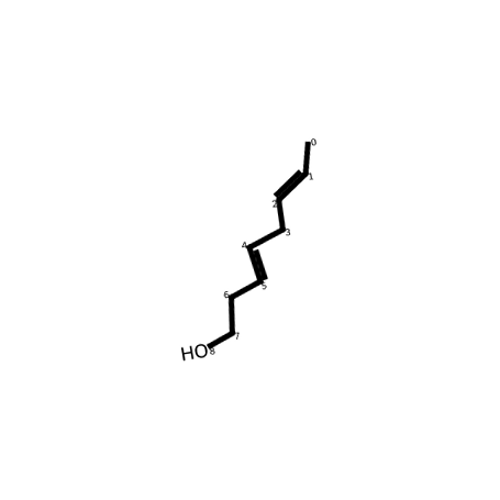 CC=CCC=CCCO